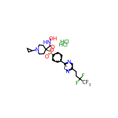 Cl.Cl.O=C(NO)C1(S(=O)(=O)c2ccc(-c3cnc(CCC(F)(F)C(F)(F)F)cn3)cc2)CCN(C2CC2)CC1